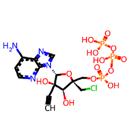 C#C[C@@]1(O)[C@H](O)[C@@](CCl)(COP(=O)(O)OP(=O)(O)OP(=O)(O)O)O[C@H]1n1cnc2c(N)ccnc21